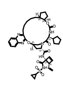 C=C[C@@H]1C=C[C@]1(NC(=O)[C@@H]1C[C@@H]2CN1C(=O)[C@H](C1CCCC1)NC(=O)O[C@@H]1CCC[C@H]1CCCCCc1nc3ccccc3nc1O2)C(=O)NS(=O)(=O)C1CC1